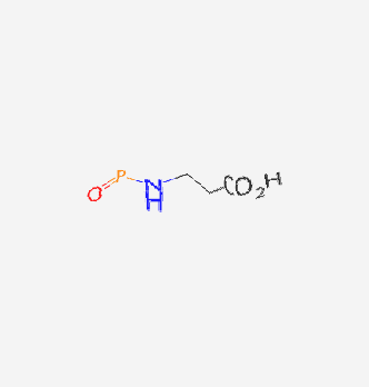 O=PNCCC(=O)O